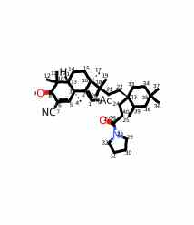 CC(=O)/C=C1/[C@@]2(C)C=C(C#N)C(=O)C(C)(C)[C@@H]2CC[C@@]1(C)C(C)(C)CC[C@@]1(CCC(=O)N2CCCC2)CCC(C)(C)CC1C